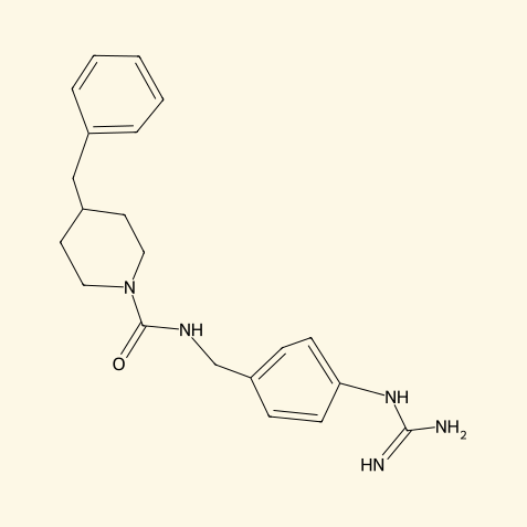 N=C(N)Nc1ccc(CNC(=O)N2CCC(Cc3ccccc3)CC2)cc1